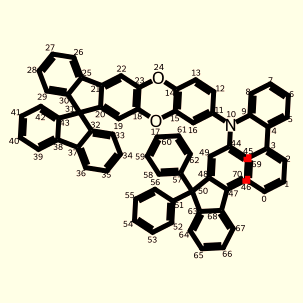 c1ccc(-c2ccccc2N(c2ccc3c(c2)Oc2cc4c(cc2O3)-c2ccccc2C42c3ccccc3-c3ccccc32)c2ccc3c(c2)C(c2ccccc2)(c2ccccc2)c2ccccc2-3)cc1